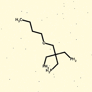 CCCCOCC(CP)(CP)CP